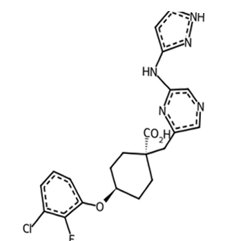 O=C(O)[C@]1(Cc2cncc(Nc3cc[nH]n3)n2)CC[C@@H](Oc2cccc(Cl)c2F)CC1